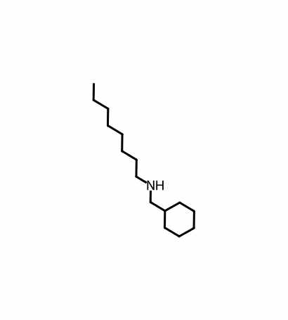 CCCCCCCCNCC1CCCCC1